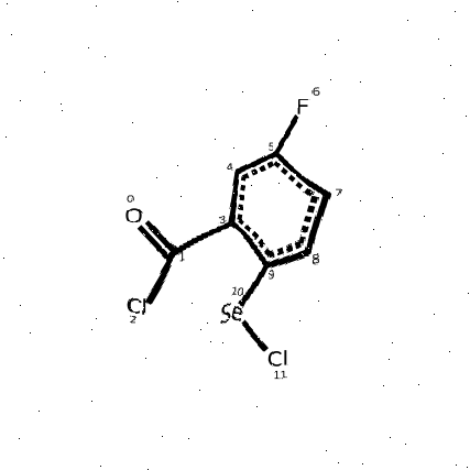 O=C(Cl)c1cc(F)ccc1[Se]Cl